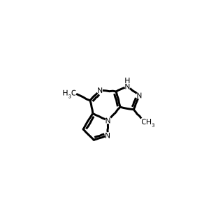 Cc1nc2[nH]nc(C)c2n2nccc12